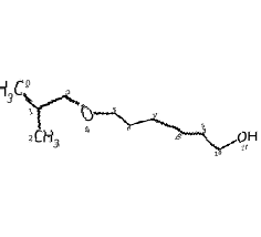 CC(C)COCCCCCCO